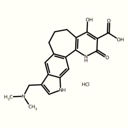 CN(C)Cc1c[nH]c2cc3c(cc12)CCCc1c-3[nH]c(=O)c(C(=O)O)c1O.Cl